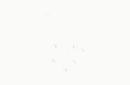 Cn1cnnc1-c1nccn1-c1cccc(Br)c1